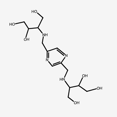 OCC(O)C(CO)NCc1cnc(CNC(CO)C(O)CO)cn1